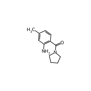 Cc1ccc(C(=O)N2CCCC2)c(N)c1